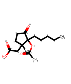 CCCCCC1(OC(C)=O)C(=O)CCC1(C)CC(=O)O